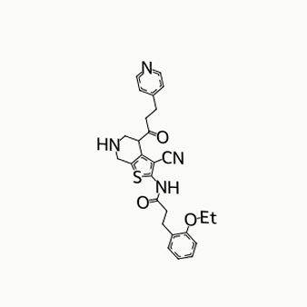 CCOc1ccccc1CCC(=O)Nc1sc2c(c1C#N)C(C(=O)CCc1ccncc1)CNC2